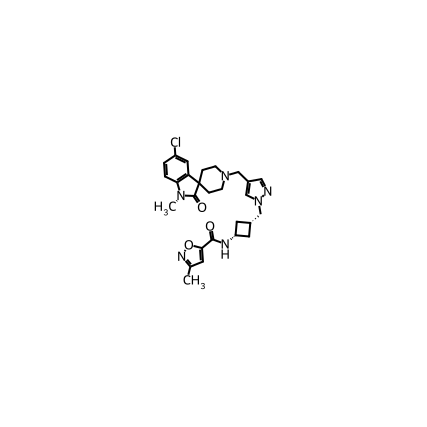 Cc1cc(C(=O)N[C@H]2C[C@@H](Cn3cc(CN4CCC5(CC4)C(=O)N(C)c4ccc(Cl)cc45)cn3)C2)on1